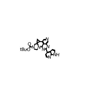 CC(C)(C)OC(=O)N1CCN(c2nc(-c3ccnc4[nH]ccc34)nc3cncc(C4CC4)c23)CC1